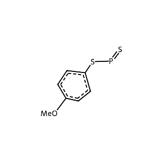 COc1ccc(SP=S)cc1